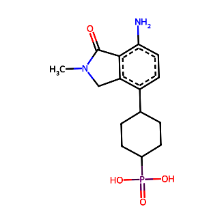 CN1Cc2c(C3CCC(P(=O)(O)O)CC3)ccc(N)c2C1=O